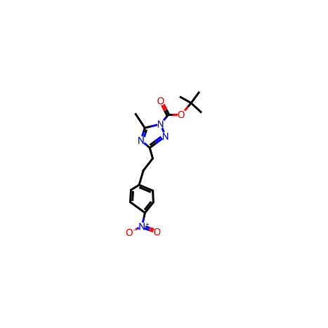 Cc1nc(CCc2ccc([N+](=O)[O-])cc2)nn1C(=O)OC(C)(C)C